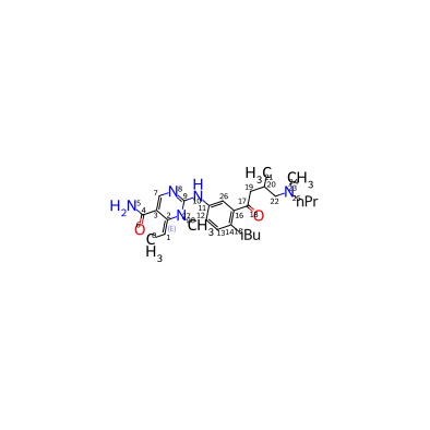 C/C=C1\C(C(N)=O)=CN=C(Nc2ccc(C(C)CC)c(C(=O)CC(C)CN(C)CCC)c2)N1C